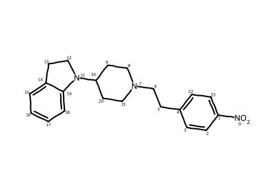 O=[N+]([O-])c1ccc(CCN2CCC(N3CCc4ccccc43)CC2)cc1